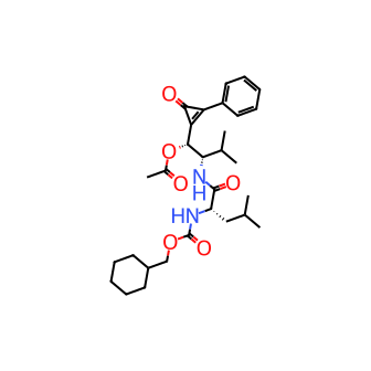 CC(=O)O[C@H](c1c(-c2ccccc2)c1=O)[C@@H](NC(=O)[C@H](CC(C)C)NC(=O)OCC1CCCCC1)C(C)C